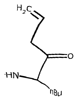 C=CCC(=O)C([NH])CCCC